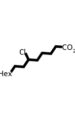 CCCCCCCCC(Cl)CCCCC(=O)O